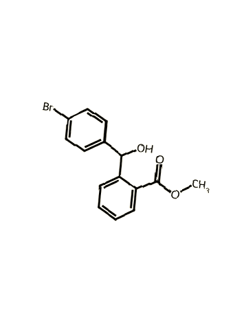 COC(=O)c1ccccc1C(O)c1ccc(Br)cc1